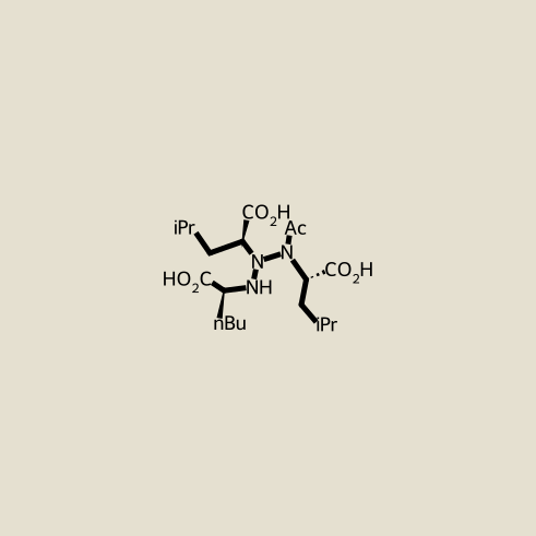 CCCC[C@H](NN([C@@H](CC(C)C)C(=O)O)N(C(C)=O)[C@@H](CC(C)C)C(=O)O)C(=O)O